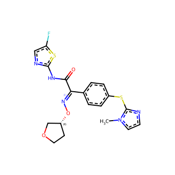 Cn1ccnc1Sc1ccc(/C(=N\O[C@@H]2CCOC2)C(=O)Nc2ncc(F)s2)cc1